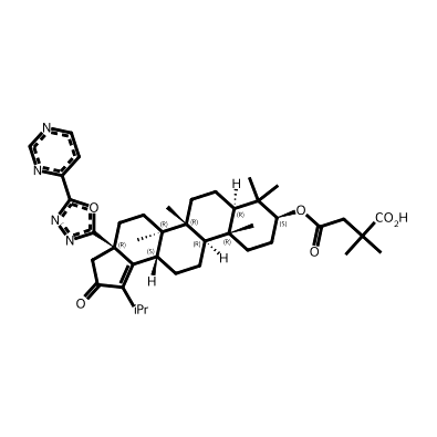 CC(C)C1=C2[C@H]3CC[C@@H]4[C@@]5(C)CC[C@H](OC(=O)CC(C)(C)C(=O)O)C(C)(C)[C@@H]5CC[C@@]4(C)[C@]3(C)CC[C@@]2(c2nnc(-c3ccncn3)o2)CC1=O